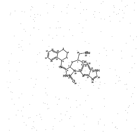 CC(CC1C(=NC2CCCc3ccccc32)NC(=O)N1c1ccc2[nH]cnc2c1)CC(C)(C)C